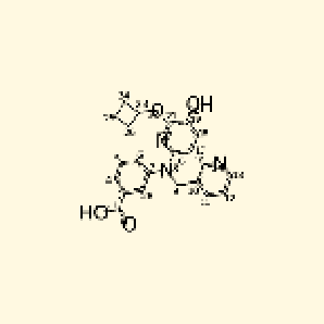 O=C(O)c1cccc(N(Cc2cccnc2)c2ccc(O)c(OC3CCC3)n2)c1